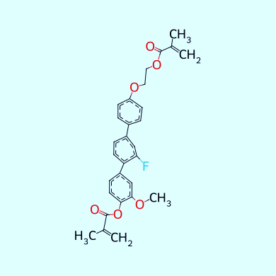 C=C(C)C(=O)OCCOc1ccc(-c2ccc(-c3ccc(OC(=O)C(=C)C)c(OC)c3)c(F)c2)cc1